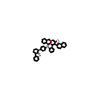 c1ccc(N(c2ccc(-c3cccc4c3sc3ccccc34)cc2)c2cccc3ccccc23)c(-c2cccc3oc4c5ccccc5ccc4c23)c1